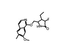 CCC1C(COc2nccc3cc(C)c(OC)cc23)NC(=O)C1F